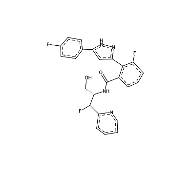 O=C(N[C@@H](CO)C(F)c1ccccn1)c1cccc(F)c1-c1cc(-c2ccc(F)cc2)[nH]n1